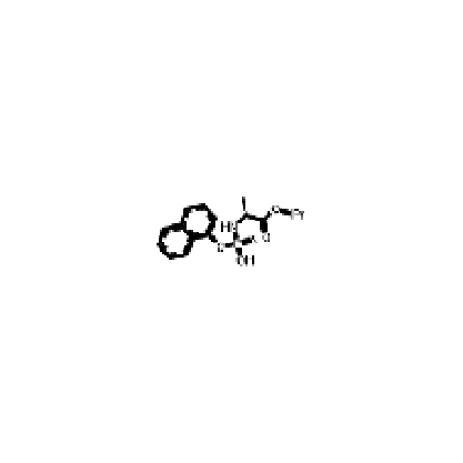 CC(C)OC(=O)[C@H](C)NP(O)(=S)Oc1cccc2ccccc12